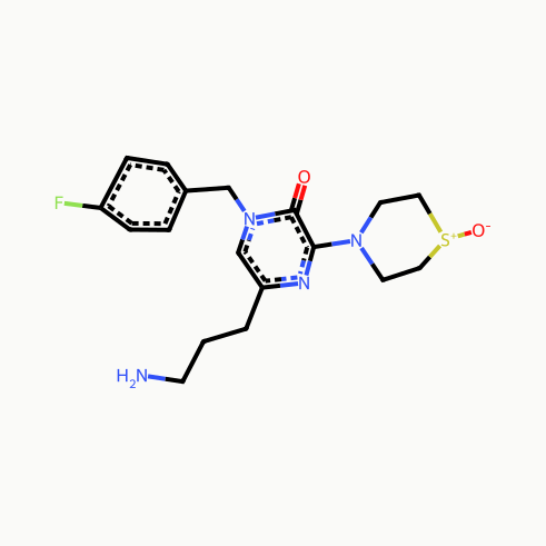 NCCCc1cn(Cc2ccc(F)cc2)c(=O)c(N2CC[S+]([O-])CC2)n1